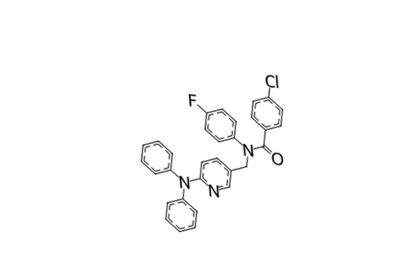 O=C(c1ccc(Cl)cc1)N(Cc1ccc(N(c2ccccc2)c2ccccc2)nc1)c1ccc(F)cc1